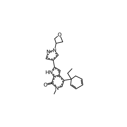 CCC1(c2cn(C)c(=O)c3[nH]c(-c4cnn(C5COC5)c4)cc23)C=CC=CC1